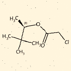 C[C@@H](OC(=O)CCl)C(C)(C)C